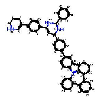 C1=CC(c2ccc(C3=CC(c4ccc(-c5ccc6c(c5)c5cccc7c5n6-c5ccccc5-c5ccccc5-7)cc4)NC(c4ccccc4)N3)cc2)=CNC1